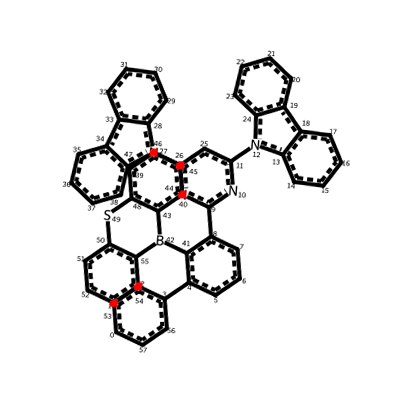 c1ccc(-c2cccc(-c3nc(-n4c5ccccc5c5ccccc54)cc(-n4c5ccccc5c5ccccc54)n3)c2B2c3ccccc3Sc3ccccc32)cc1